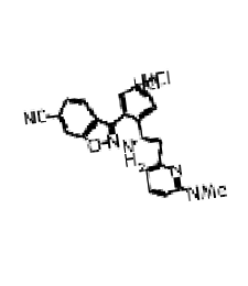 CNc1cccc(C[C@H](N)c2ccccc2-c2noc3cc(C#N)ccc23)n1.Cl.Cl